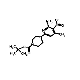 Cc1cc(N2CCN(C(=O)OC(C)(C)C)CC2)nc(N)c1[N+](=O)[O-]